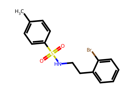 Cc1ccc(S(=O)(=O)NCCc2ccccc2Br)cc1